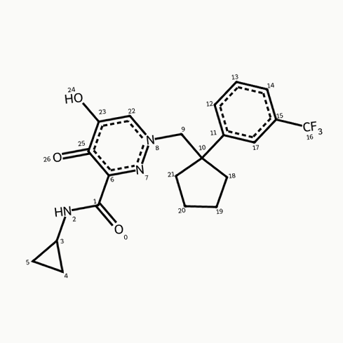 O=C(NC1CC1)c1nn(CC2(c3cccc(C(F)(F)F)c3)CCCC2)cc(O)c1=O